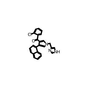 O=C(c1ccccc1Cl)c1cn(Cc2c[nH]cn2)cc1-c1cccc2ccccc12